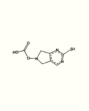 O=C(O)ON1Cc2cnc(S)nc2C1